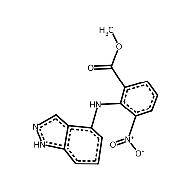 COC(=O)c1cccc([N+](=O)[O-])c1Nc1cccc2[nH]ncc12